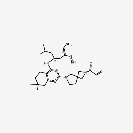 C=CC(=O)N1CC2(CCN(c3nc4c(c(N[C@H](C/C(=C/N)N=N)CC(C)C)n3)CCC(C)(C)C4)C2)C1